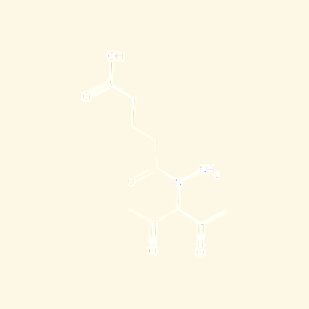 CC(=O)C(C(C)=O)N(N)C(=O)CCCC(=O)O